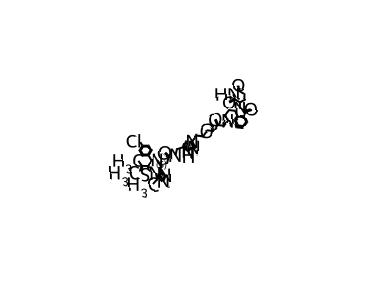 Cc1sc2c(c1C)C(c1ccc(Cl)cc1)=N[C@@H](CC(=O)NCc1cn(CCOCC(=O)CN3CCC4c5c(cccc53)C(=O)N4C3CCC(=O)NC3=O)nn1)c1nnc(C)n1-2